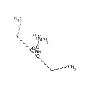 CCCCCCCC/C=C\CCCCCCCCOCC(COCCCCCCCC/C=C\CCCCCCCC)NC(=O)OCCCN(C)C